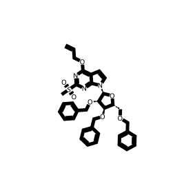 C=CCOc1nc(S(C)(=O)=O)nc2c1ccn2[C@@H]1O[C@H](COCc2ccccc2)[C@@H](OCc2ccccc2)[C@@H]1OCc1ccccc1